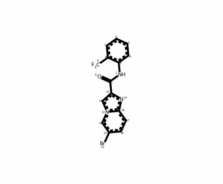 O=C(Nc1ccccc1C(F)(F)F)c1cn2cc(Br)ccc2n1